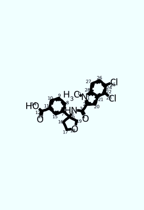 Cn1c(C(=O)NC2(c3cccc(C(=O)O)c3)CCOC2)cc2c(Cl)c(Cl)ccc21